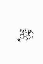 N#Cc1cccc(-c2c(I)[c]c(I)cc2C(F)(C(F)(F)F)C(F)(F)C(F)(F)F)c1